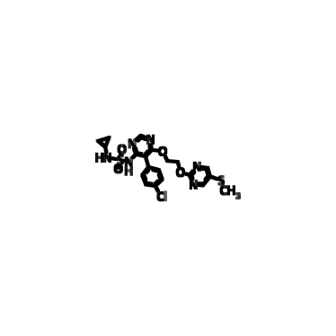 CSc1cnc(OCCOc2ncnc(NS(=O)(=O)NC3CC3)c2-c2ccc(Cl)cc2)nc1